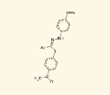 COc1ccc(NN=C(Sc2ccc([S+](C)[O-])cc2)C(C)=O)cc1